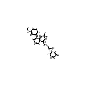 COc1cccc(-c2cccc3c2NC(C)(C)C=C3CSCCc2ccccc2)c1